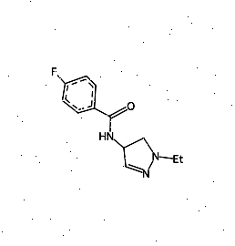 CCN1CC(NC(=O)c2ccc(F)cc2)C=N1